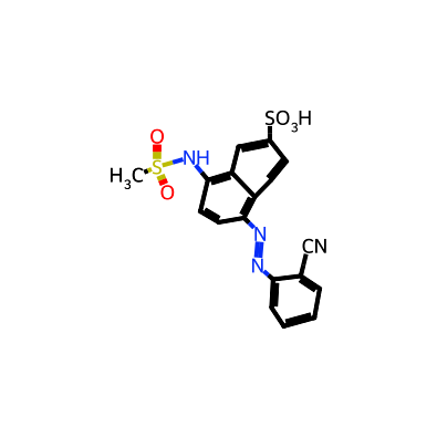 CS(=O)(=O)Nc1ccc(N=Nc2ccccc2C#N)c2ccc(S(=O)(=O)O)cc12